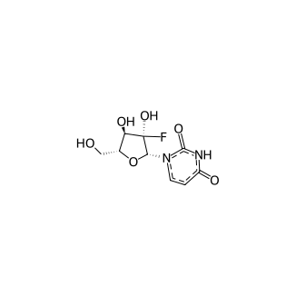 O=c1ccn([C@@H]2O[C@H](CO)[C@@H](O)[C@@]2(O)F)c(=O)[nH]1